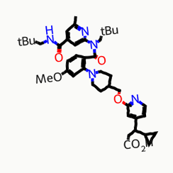 COc1ccc(C(=O)N(CC(C)(C)C)c2cc(C(=O)NCC(C)(C)C)cc(C)n2)c(N2CCC(COc3cc(C(CC(=O)O)C4CC4)ccn3)CC2)c1